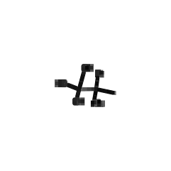 CCCCC(C)(CC)C(O)(O)O